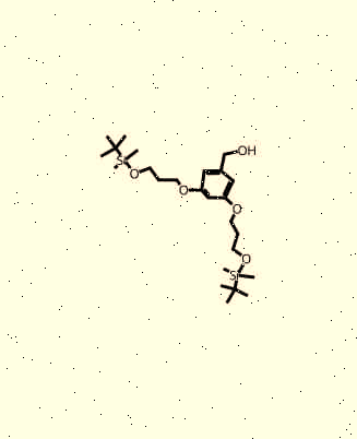 CC(C)(C)[Si](C)(C)OCCCOc1cc(CO)cc(OCCCO[Si](C)(C)C(C)(C)C)c1